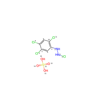 ClNNc1cc(Cl)c(Cl)cc1Cl.O=S(=O)(O)O